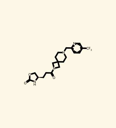 O=C1N[C@H](CCC(=O)N2CC3(CCN(Cc4ccc(C(F)(F)F)cn4)CC3)C2)CO1